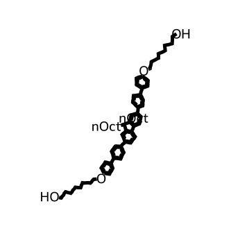 CCCCCCCCC1(CCCCCCCC)c2cc(-c3ccc(-c4ccc(OCCCCCCCCO)cc4)cc3)ccc2-c2ccc(-c3ccc(-c4ccc(OCCCCCCCCO)cc4)cc3)cc21